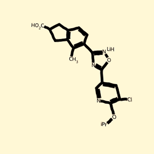 Cc1c(-c2noc(-c3cnc(OC(C)C)c(Cl)c3)n2)ccc2c1CC(C(=O)O)C2.[LiH]